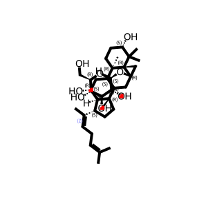 CC(C)=CC/C=C(/C)[C@H]1CC[C@]2(C)[C@@H]1[C@H](O)C[C@@H]1[C@@]3(C)CC[C@H](O)C(C)(C)[C@@]34C[C@]4(O[C@@H]3O[C@H](CO)[C@@H](O)[C@H](O)[C@H]3O)C[C@]12C